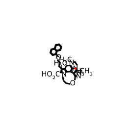 CC1C2=C3N(CCN2C)Cc2c4c(nn2C)COCCCCn2c(C(=O)O)c(CCCOc5cccc6ccccc56)c1c2C34C